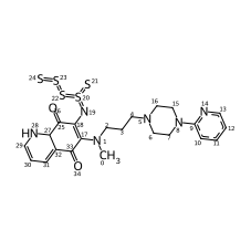 CN(CCCN1CCN(c2ccccn2)CC1)C1=C(N=S(=S)=S=S=S)C(=O)C2NC=CC=C2C1=O